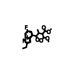 CCc1cc2c(C(=O)C(C)C(C(=O)OC)C(=O)OC)cc(F)cn2n1